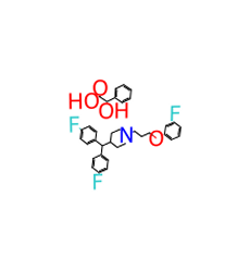 Fc1ccc(C(c2ccc(F)cc2)C2CCN(CCCOc3cccc(F)c3)CC2)cc1.O=C(O)C(O)c1ccccc1